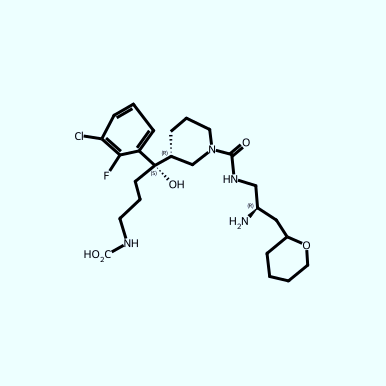 N[C@@H](CNC(=O)N1CCC[C@@H]([C@@](O)(CCCNC(=O)O)c2cccc(Cl)c2F)C1)CC1CCCCO1